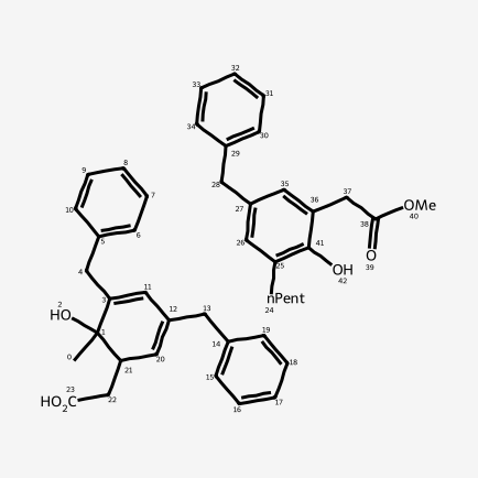 CC1(O)C(Cc2ccccc2)=CC(Cc2ccccc2)=CC1CC(=O)O.CCCCCc1cc(Cc2ccccc2)cc(CC(=O)OC)c1O